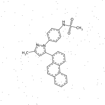 Cc1cc(-c2cccc3c2ccc2ccccc23)n(-c2ccc(NS(C)(=O)=O)cc2)n1